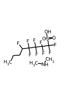 CCCC(F)C(F)(F)C(F)(F)C(F)(F)C(F)(F)S(=O)(=O)O.CNC